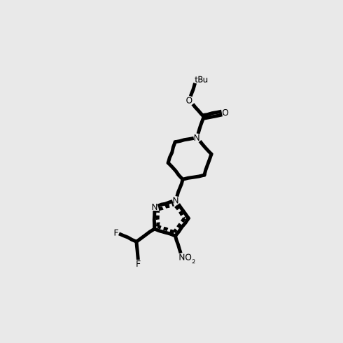 CC(C)(C)OC(=O)N1CCC(n2cc([N+](=O)[O-])c(C(F)F)n2)CC1